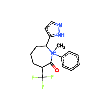 C[N+]1(c2ccccc2)C(=O)C(C(F)(F)F)CCCC1c1ccn[nH]1